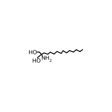 CCCCCCCCCCCCCC(N)(CO)CO